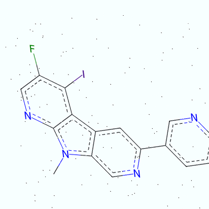 Cn1c2cnc(-c3cccnc3)cc2c2c(I)c(F)cnc21